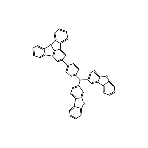 c1ccc2c(c1)oc1cc(N(c3ccc(-c4cc5c6ccccc6n6c7ccccc7c(c4)c56)cc3)c3ccc4oc5ccccc5c4c3)ccc12